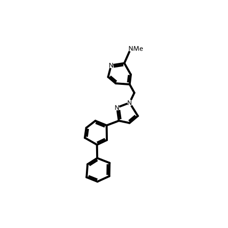 CNc1cc(Cn2ccc(-c3cccc(-c4ccccc4)c3)n2)ccn1